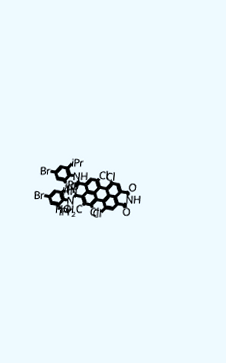 CC(C)c1cc(Br)cc(C(C)C)c1NC(=N)c1c(C(=O)O)c(Cl)c2c3c(Cl)cc4c5c(cc(Cl)c(c6c(Cl)cc(C(=O)Nc7c(C(C)C)cc(Br)cc7C(C)C)c1c62)c53)C(=O)NC4=O